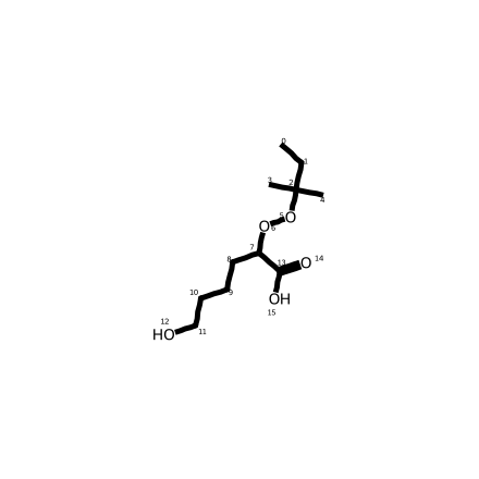 CCC(C)(C)OOC(CCCCO)C(=O)O